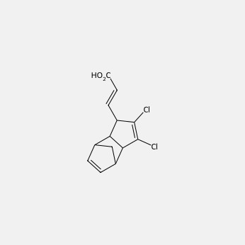 O=C(O)C=CC1C(Cl)=C(Cl)C2C3C=CC(C3)C12